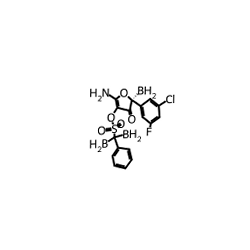 BC(B)(c1ccccc1)S(=O)(=O)OC1=C(N)O[C@@](B)(c2cc(F)cc(Cl)c2)C1=O